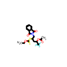 CCOC(=S)SC(CC(OC(C)=O)C(F)(F)F)CN1C(=O)c2ccccc2C1=O